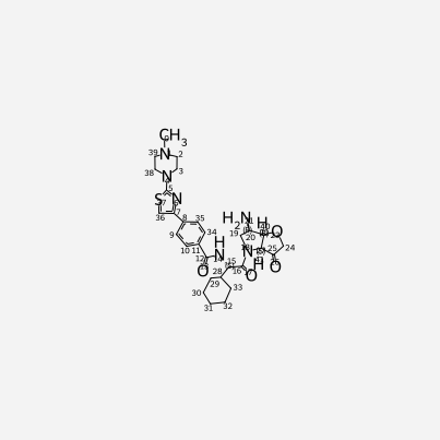 CN1CCN(c2nc(-c3ccc(C(=O)N[C@H](C(=O)N4C[C@@H](N)[C@H]5OCC(=O)[C@H]54)C4CCCCC4)cc3)cs2)CC1